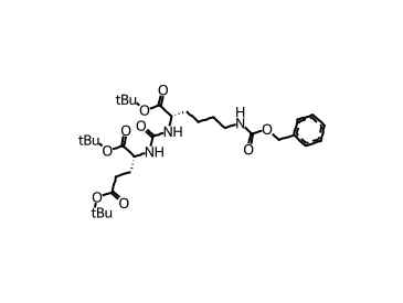 CC(C)(C)OC(=O)CC[C@@H](NC(=O)N[C@@H](CCCCNC(=O)OCc1ccccc1)C(=O)OC(C)(C)C)C(=O)OC(C)(C)C